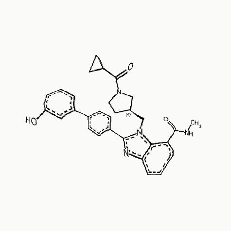 CNC(=O)c1cccc2nc(-c3ccc(-c4cccc(O)c4)cc3)n(C[C@H]3CCN(C(=O)C4CC4)C3)c12